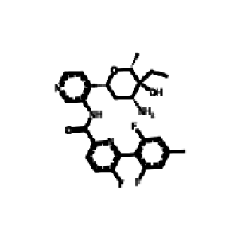 CC[C@]1(O)[C@H](N)C[C@H](c2ccncc2NC(=O)c2ccc(F)c(-c3c(F)cc(C)cc3F)n2)O[C@@H]1C